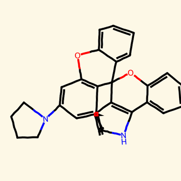 c1ccc2c(c1)OC1(c3ccccc3Oc3cc(N4CCCC4)ccc31)c1c-2[nH]c2ccccc12